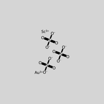 O=S(=O)([O-])[O-].O=S(=O)([O-])[O-].O=S(=O)([O-])[O-].[Au+3].[Sc+3]